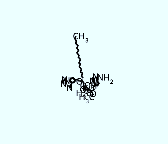 CCCCCCCCCCCCCCCCCCC[C@H](COP(=O)(O)OC[C@](C)(CCc1ccc2c(N)ncnn12)OC)OCc1ccc(-n2cncn2)c(C#N)c1